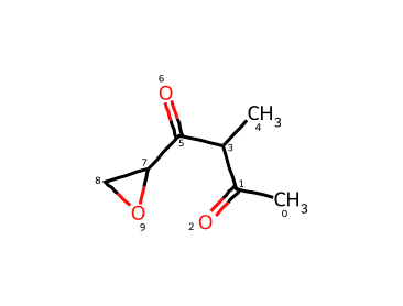 CC(=O)C(C)C(=O)C1CO1